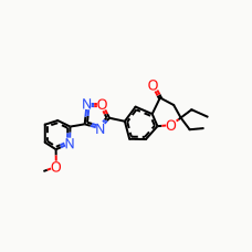 CCC1(CC)CC(=O)c2cc(-c3nc(-c4cccc(OC)n4)no3)ccc2O1